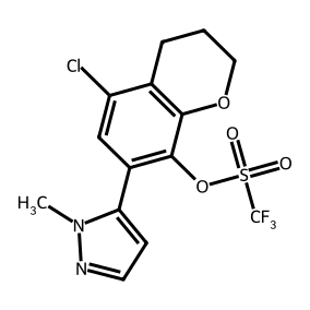 Cn1nccc1-c1cc(Cl)c2c(c1OS(=O)(=O)C(F)(F)F)OCCC2